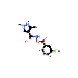 Cc1nn(C)cc1C(=O)NOC(=O)c1cccc(F)c1